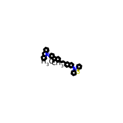 CC1(C)c2cc(/C=C/c3ccc4cc(N5c6ccccc6Sc6ccccc65)ccc4c3)ccc2-c2ccc(N3C4=C(CCC=C4)Cc4ccccc43)cc21